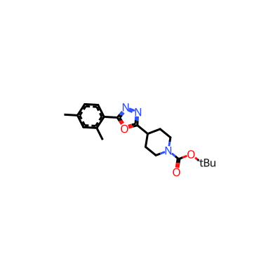 Cc1ccc(-c2nnc(C3CCN(C(=O)OC(C)(C)C)CC3)o2)c(C)c1